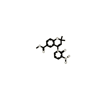 COC(=O)c1ccc2c(c1)C(n1cccc([N+](=O)[O-])c1=O)=CC(C)(C)O2